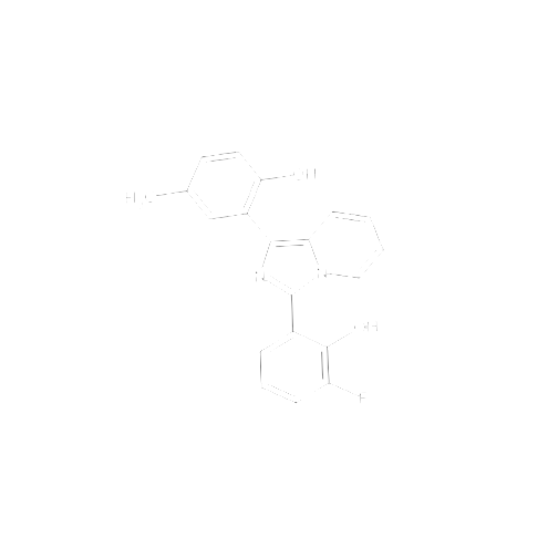 Cc1ccc(O)c(-c2nc(-c3cccc(F)c3O)n3ccccc23)c1